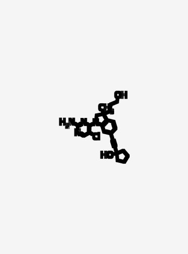 CC1(CCCO)CN(c2nc(N)ncc2Cl)c2cc(C#CC3(O)CCCC3)ccc21